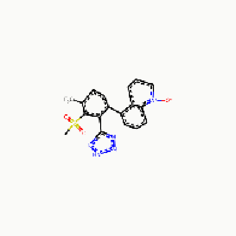 CS(=O)(=O)c1c(C(F)(F)F)ccc(-c2cccc3c2ccc[n+]3[O-])c1-c1nn[nH]n1